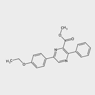 CCOc1ccc(-c2cnc(-c3ccccc3)c(C(=O)OC)n2)cc1